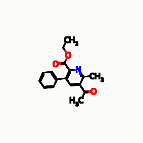 CCOC(=O)c1nc(C)c(C(C)=O)cc1-c1ccccc1